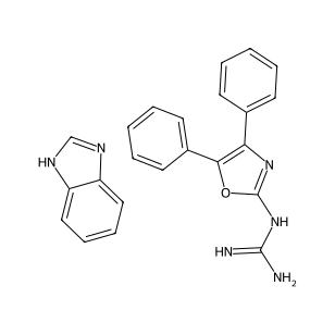 N=C(N)Nc1nc(-c2ccccc2)c(-c2ccccc2)o1.c1ccc2[nH]cnc2c1